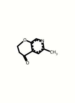 Cc1cc2c(cn1)OCCC2=O